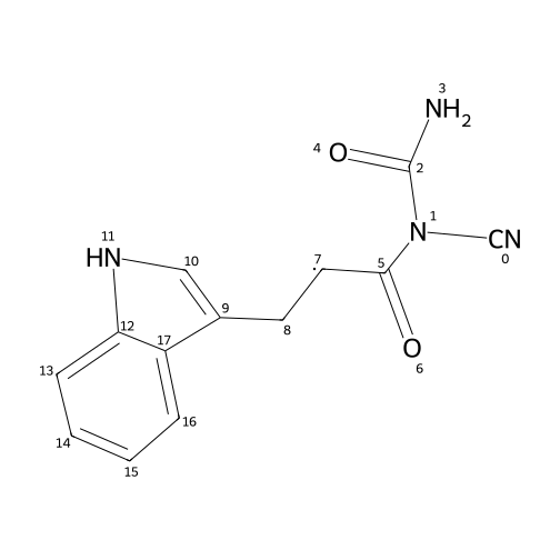 N#CN(C(N)=O)C(=O)[CH]Cc1c[nH]c2ccccc12